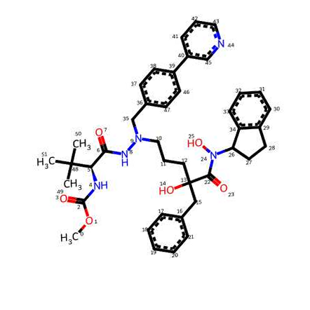 COC(=O)N[C@H](C(=O)NN(CCCC(O)(Cc1ccccc1)C(=O)N(O)C1CCc2ccccc21)Cc1ccc(-c2cccnc2)cc1)C(C)(C)C